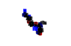 CC(C)(C)n1cc(NC(=O)Nc2ccc(Oc3ccnc(-c4cn[nH]c4)c3)cc2)c(-c2ccc3ocnc3c2)n1